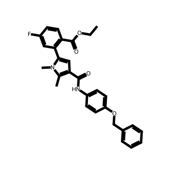 CCOC(=O)c1ccc(F)cc1-c1cc(C(=O)Nc2ccc(OCc3ccccc3)cc2)c(C)n1C